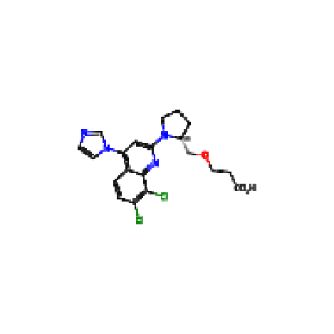 O=C(O)CCOC[C@H]1CCCN1c1cc(-n2ccnc2)c2ccc(Cl)c(Cl)c2n1